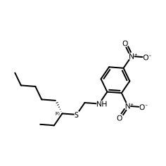 CCCCC[C@@H](CC)SCNc1ccc([N+](=O)[O-])cc1[N+](=O)[O-]